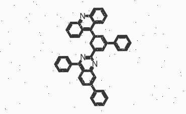 C1=C(c2ccccc2)C=C(c2nc(-c3ccccc3)c3ccc(-c4ccccc4)cc3n2)CC1c1c2ccccc2nc2ccccc12